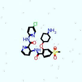 CS(=O)(=O)c1ccc(C(=O)Nc2cccnc2C(=O)Nc2ccc(Cl)cn2)c(OC2CCC(N)CC2)c1